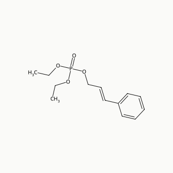 CCOP(=O)(OCC)OCC=Cc1ccccc1